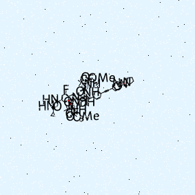 COC(=O)N[C@H](C(=O)N[C@@H](Cc1ccc(C#Cc2ccc(N3CC4CCC(C3)N4C3COC3)nc2)cc1)[C@@H](O)CN(Cc1c(F)cc(C(=N)OC(=N)C2CC2)cc1F)NC(=O)[C@@H](NC(=O)OC)C(C)(C)C(F)(F)F)C(C)(C)C(F)(F)F